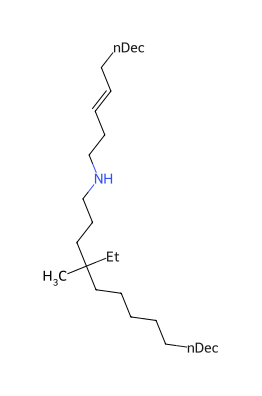 CCCCCCCCCCC/C=C/CCNCCCC(C)(CC)CCCCCCCCCCCCCCC